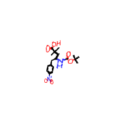 CC(C)(C)OC(=O)NC(Cc1ccc([N+](=O)[O-])cc1)CC(C)(C)C(=O)O